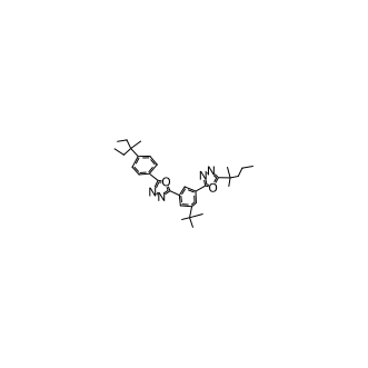 CCCC(C)(C)c1nnc(-c2cc(-c3nnc(-c4ccc(C(C)(CC)CC)cc4)o3)cc(C(C)(C)C)c2)o1